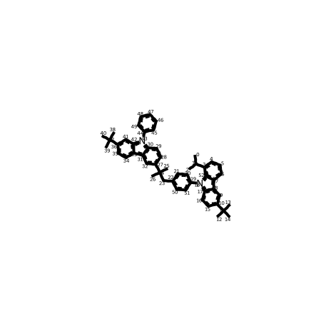 CC(C)c1cccc2c3cc(C(C)(C)C)ccc3n(-c3ccc(CC(C)(C)c4ccc5c(c4)c4ccc(C(C)(C)C)cc4n5-c4ccccc4)cc3)c12